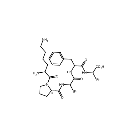 CC(C)C(NC(=O)C(Cc1ccccc1)NC(=O)C(NC(=O)[C@@H]1CCCN1C(=O)C(N)CCCCN)C(C)C)C(=O)O